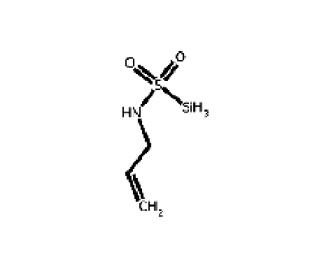 C=CCNS(=O)(=O)[SiH3]